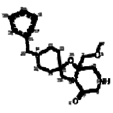 COCC12CNCC(=O)N1CC1(CCN(Cc3ccccc3)CC1)O2